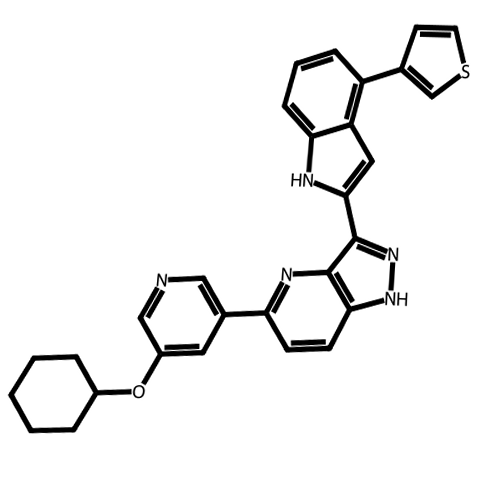 c1cc(-c2ccsc2)c2cc(-c3n[nH]c4ccc(-c5cncc(OC6CCCCC6)c5)nc34)[nH]c2c1